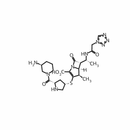 C[C@@H](NC(=O)Cn1cnnn1)[C@H]1C(=O)N2C(C(=O)O)=C(S[C@@H]3CN[C@H](C(=O)N4CCC[C@H](N)C4)C3)[C@H](C)[C@H]12